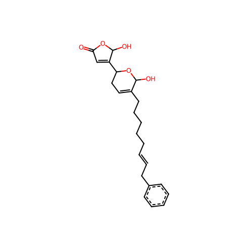 O=C1C=C(C2CC=C(CCCCC/C=C/Cc3ccccc3)C(O)O2)C(O)O1